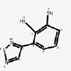 Sc1cccc(-c2cnsn2)c1S